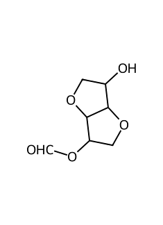 O=COC1COC2C(O)COC12